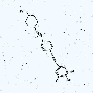 CCCCCC1CCC(C#Cc2ccc(C#Cc3cc(F)c(N)c(F)c3)cc2)CC1